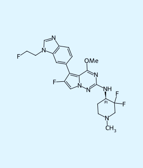 COc1nc(N[C@@H]2CCN(C)CC2(F)F)nn2cc(F)c(-c3ccc4ncn(CCF)c4c3)c12